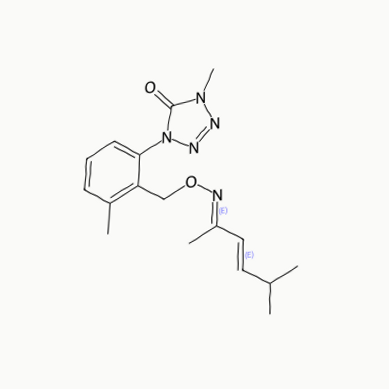 CC(/C=C/C(C)C)=N\OCc1c(C)cccc1-n1nnn(C)c1=O